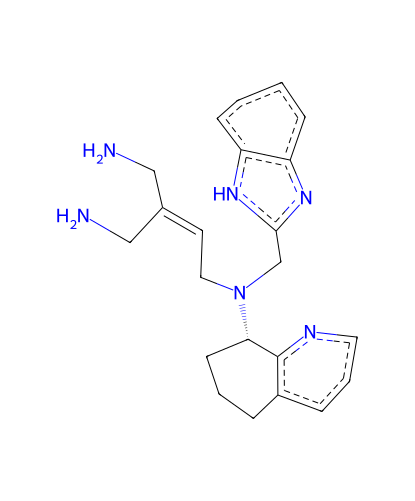 NCC(=CCN(Cc1nc2ccccc2[nH]1)[C@H]1CCCc2cccnc21)CN